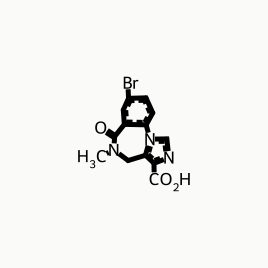 CN1Cc2c(C(=O)O)ncn2-c2ccc(Br)cc2C1=O